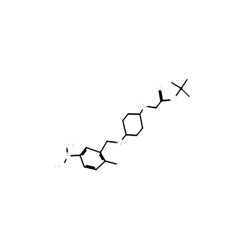 CC(C)(C)OC(=O)CNC1CCC(NCc2cc(B(O)O)ccc2F)CC1